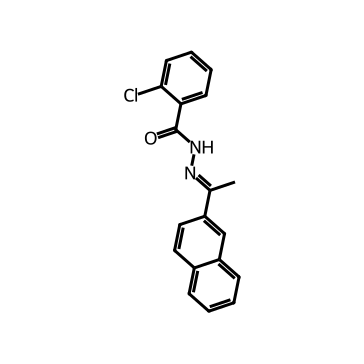 CC(=NNC(=O)c1ccccc1Cl)c1ccc2ccccc2c1